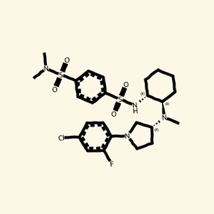 CN([C@@H]1CCN(c2ccc(Cl)cc2F)C1)[C@@H]1CCCC[C@H]1NS(=O)(=O)c1ccc(S(=O)(=O)N(C)C)cc1